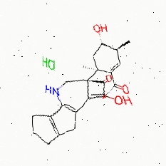 C[C@H]1C=C2C(=O)C=C3C4=C(NC[C@]3(C(=O)CO)[C@@]2(C)C[C@@H]1O)C1=C(CCC1)C4.Cl